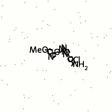 COc1ccc2c(OCc3nnc4ccc(-c5ccc(C(C)N)c(Cl)c5)nn34)ccnc2c1